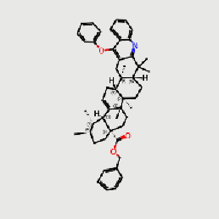 C[C@H]1[C@H](C)CC[C@]2(C(=O)OCc3ccccc3)CC[C@]3(C)C(=CC[C@@H]4[C@@]5(C)Cc6c(nc7ccccc7c6Oc6ccccc6)C(C)(C)[C@@H]5CC[C@]43C)[C@H]12